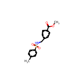 COC(=O)c1ccc(CNS(=O)(=O)c2ccc(C)cc2)cc1